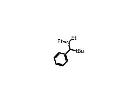 CCN(CC)C(c1ccccc1)C(C)(C)C